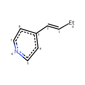 CC/C=C/c1ccncc1